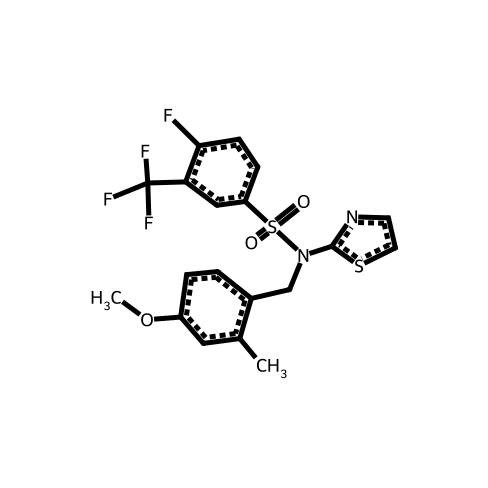 COc1ccc(CN(c2nccs2)S(=O)(=O)c2ccc(F)c(C(F)(F)F)c2)c(C)c1